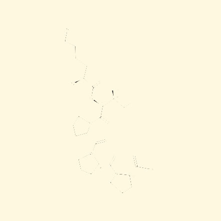 CC[C@H](C)[C@H](NC(=O)[C@@H](N)CCCCN)C(=O)N1CCC[C@H]1C(=O)N1CCC[C@H]1C(=O)N1CCC[C@H]1C(=O)O